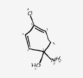 NC1(O)C=CC(Cl)=CC1